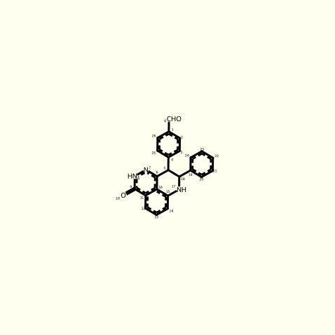 O=Cc1ccc(C2c3n[nH]c(=O)c4cccc(c34)NC2c2ccccc2)cc1